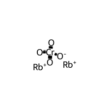 [O]=[Cr](=[O])([O-])[O-].[Rb+].[Rb+]